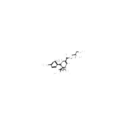 CC(C)(C)c1cc(O)c2c(c1)OC(C)(C)[C@@H]1CC=C(C(=O)NC[C@H](O)CO)C[C@@H]21